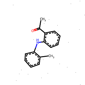 CC(=O)c1ccccc1Nc1ccccc1C